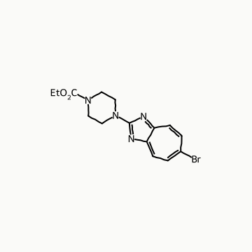 CCOC(=O)N1CCN(c2nc3ccc(Br)ccc-3n2)CC1